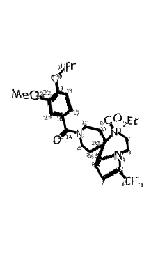 CCOC(=O)N1CCn2c(C(F)(F)F)ccc2C12CCN(C(=O)c1ccc(OC(C)C)c(OC)c1)CC2